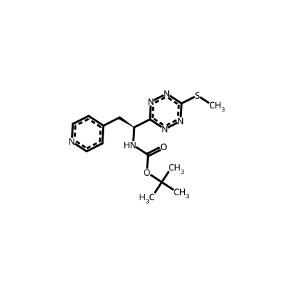 CSc1nnc([C@H](Cc2ccncc2)NC(=O)OC(C)(C)C)nn1